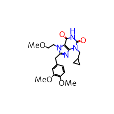 COCCn1c(Cc2ccc(OC)c(OC)c2)nc2c1c(=O)[nH]c(=O)n2CC1CC1